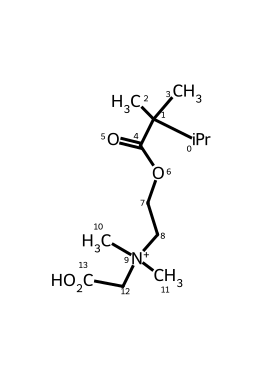 CC(C)C(C)(C)C(=O)OCC[N+](C)(C)CC(=O)O